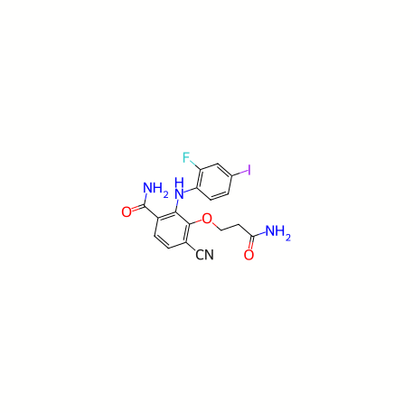 N#Cc1ccc(C(N)=O)c(Nc2ccc(I)cc2F)c1OCCC(N)=O